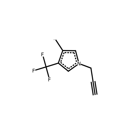 C#CCn1cc([CH2])c(C(F)(F)F)c1